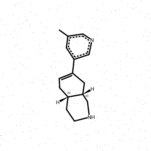 Cc1cncc(C2=CC[C@H]3CCNC[C@H]3C2)c1